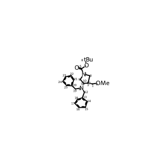 COC[C@@H]1CN(C(=O)OC(C)(C)C)C[C@H]1N(Cc1ccccc1)Cc1ccccc1